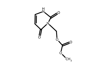 COC(=O)OCn1c(=O)cc[nH]c1=O